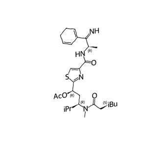 CC[C@H](C)CC(=O)N(C)[C@H](C[C@@H](OC(C)=O)c1nc(C(=O)N[C@H](C)C(=N)C2=CCCC=C2)cs1)C(C)C